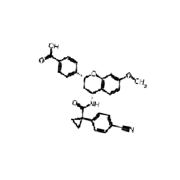 COc1ccc2c(c1)O[C@@H](c1ccc(C(=O)O)cc1)C[C@H]2NC(=O)C1(c2ccc(C#N)cc2)CC1